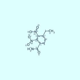 CCc1ccc(C(N)=O)c([N+](=O)[O-])c1[N+](=O)[O-]